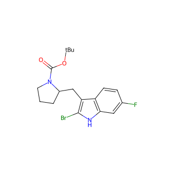 CC(C)(C)OC(=O)N1CCCC1Cc1c(Br)[nH]c2cc(F)ccc12